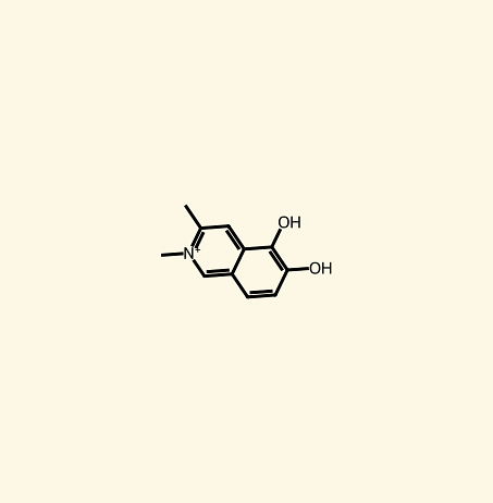 Cc1cc2c(O)c(O)ccc2c[n+]1C